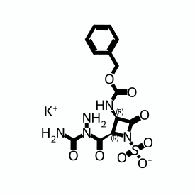 NC(=O)N(N)C(=O)[C@H]1[C@@H](NC(=O)OCc2ccccc2)C(=O)N1S(=O)(=O)[O-].[K+]